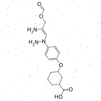 N/C(=C\N(N)c1ccc(OC2CCCC(C(=O)O)C2)cc1)COC=O